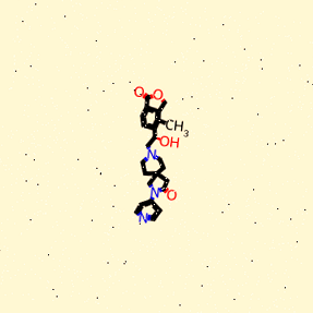 Cc1c([C@@H](O)CN2CCC3(CC2)CC(=O)N(c2ccncc2)C3)ccc2c1COC2=O